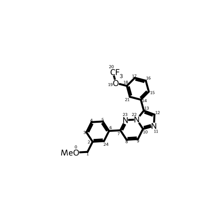 COCc1cccc(-c2ccc3ncc(-c4cccc(OC(F)(F)F)c4)n3n2)c1